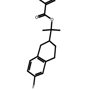 C=C(C)C(=O)OC(C)(C)C1CCc2cc(F)ccc2C1